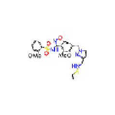 C=CSNCc1ccn(Cc2cc(OC)c3c(NS(=O)(=O)c4ccccc4OC)noc3c2)n1